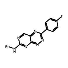 CC(C)Nc1ncc2nc(-c3ccc(F)cc3)nnc2n1